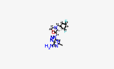 Cc1nc(N)c2nnn(C[C@H]3CN(Cc4cc(F)cc(F)c4)CCO3)c2n1